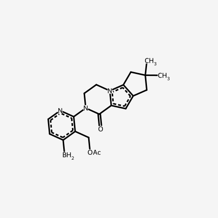 Bc1ccnc(N2CCn3c(cc4c3CC(C)(C)C4)C2=O)c1COC(C)=O